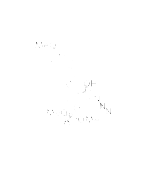 COc1ccc(CO[C@@H](COP(=O)(OC)OC)[C@@H](O)CN=[N+]=[N-])cc1